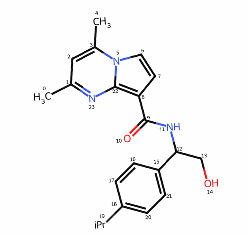 Cc1cc(C)n2ccc(C(=O)NC(CO)c3ccc(C(C)C)cc3)c2n1